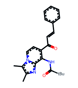 Cc1nc2c(NC(=O)C(C)(C)C)c(C(=O)C=Cc3ccccc3)ccn2c1C